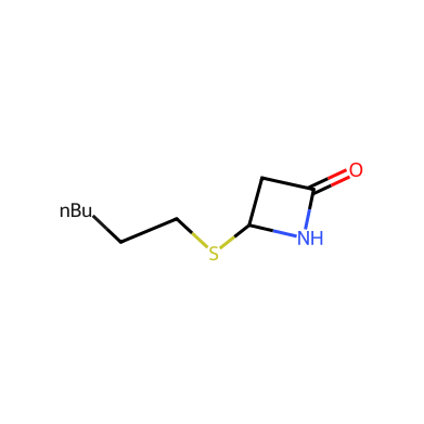 CCCCCCSC1CC(=O)N1